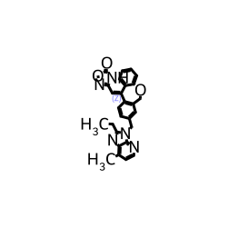 CCc1nc2c(C)ccnc2n1Cc1ccc2c(c1)COc1ccccc1/C2=C\c1noc(=O)[nH]1